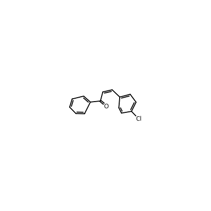 O=C(/C=C\c1ccc(Cl)cc1)c1ccccc1